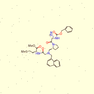 COC(=O)[C@H](CCSC)NC(=O)CN(Cc1cccc2ccccc12)C[C@@H]1CCCN1C(=O)[C@H](CN)NC(=O)OCc1ccccc1